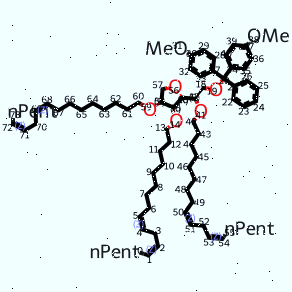 CCCCC/C=C\C/C=C\CCCCCCCCO[C@H]1[C@@H]([C@@H](COC(c2ccccc2)(c2ccc(OC)cc2)c2ccc(OC)cc2)OCCCCCCCC/C=C\C/C=C\CCCCC)OC[C@@H]1OCCCCCCCC/C=C\C/C=C\CCCCC